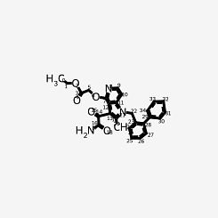 CCOC(=O)COc1nccc2c1c(C(=O)C(N)=O)c(C)n2Cc1ccccc1-c1ccccc1